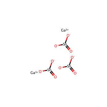 [Ga+3].[Ga+3].[O]=[Sn]([O-])[O-].[O]=[Sn]([O-])[O-].[O]=[Sn]([O-])[O-]